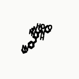 O=C(N[C@H]1CCOC[C@@H]1O)c1cc(Cc2ccc(-n3cccn3)cc2)cn2ncnc12